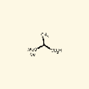 COC(C)C(=O)O.[Ce]